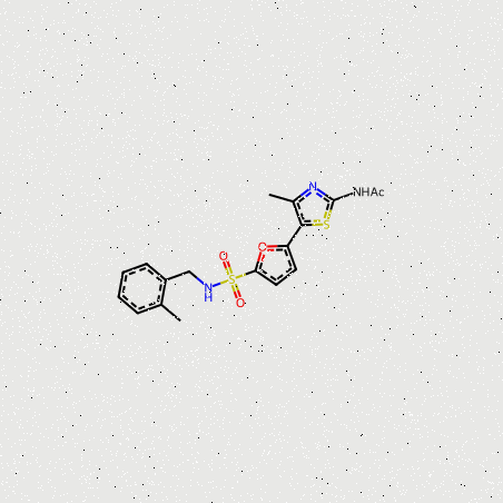 CC(=O)Nc1nc(C)c(-c2ccc(S(=O)(=O)NCc3ccccc3C)o2)s1